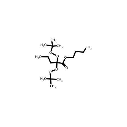 CCCCOC(=O)C(CCC)(OOC(C)(C)C)OOC(C)(C)C